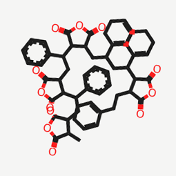 CC1C(=O)OC(=O)C1CC(c1ccccc1)C1C(=O)OC(=O)C1CC(c1ccccc1)C1C(=O)OC(=O)C1CC(CC(C1=CCCCC1)C1C(=O)OC(=O)C1CCC1=CCCC=C1)C1=CC=CCC1